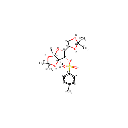 Cc1ccc(S(=O)(=O)O[C@@H]2[C@H]3OC(C)(C)O[C@H]3O[C@@H]2[C@H]2COC(C)(C)O2)cc1